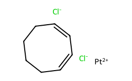 C1=C\CCCC\C=C/1.[Cl-].[Cl-].[Pt+2]